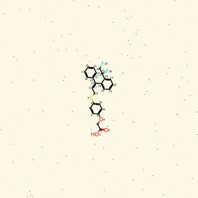 O=C(O)COc1ccc(SC/C=C(/c2ccccc2)c2ccccc2C(F)(F)CF)cc1